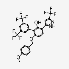 COc1ccc(COc2ccc(-c3cc(C(F)(F)F)n[nH]3)c(O)c2-c2cc(C(F)(F)F)cc(C(F)(F)F)c2)cc1